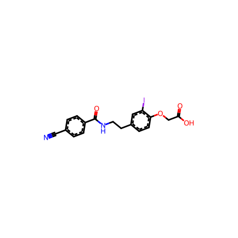 N#Cc1ccc(C(=O)NCCc2ccc(OCC(=O)O)c(I)c2)cc1